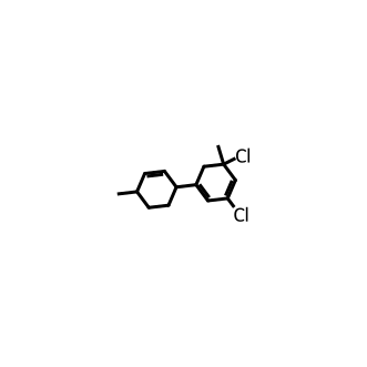 CC1C=CC(C2=CC(Cl)=CC(C)(Cl)C2)CC1